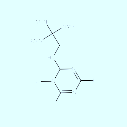 CNC(CNC1N=C(F)N=C(F)N1Cl)(NC)NC